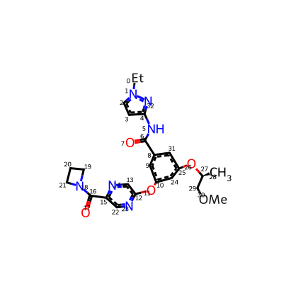 CCn1ccc(NC(=O)c2cc(Oc3cnc(C(=O)N4CCC4)cn3)cc(O[C@@H](C)COC)c2)n1